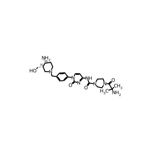 CC(C)(N)C(=O)N1CCN(C(=O)Nc2ccn(-c3ccc(CN4CC[C@@H](N)[C@@H](CO)C4)cc3)c(=O)n2)CC1